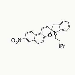 CC(C)CCN1c2ccccc2CC12C=Cc1c(ccc3cc([N+](=O)[O-])ccc13)O2